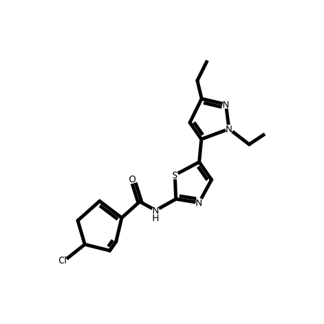 CCc1cc(-c2cnc(NC(=O)C3=CCC(Cl)C=C3)s2)n(CC)n1